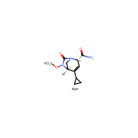 NC(=O)[C@@H]1C=C(C2CC2)[C@@H]2CN1C(=O)N2OS(=O)(=O)O.[NaH]